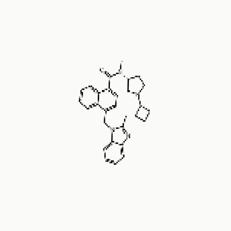 Cc1nc2ccccc2n1Cc1ccc(C(=O)N(C)[C@@H]2CCN(C3CCC3)C2)c2ccccc12